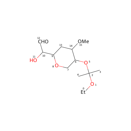 CCOC(C)(C)OC1COC(C(O)C=O)CC1OC